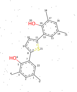 Cc1cc(C)c(O)c(-c2ccc(-c3cc(C)cc(C)c3O)s2)c1